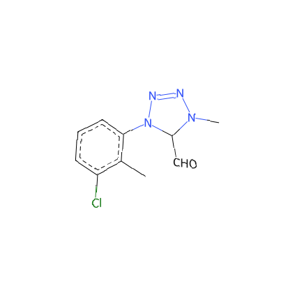 Cc1c(Cl)cccc1N1N=NN(C)C1C=O